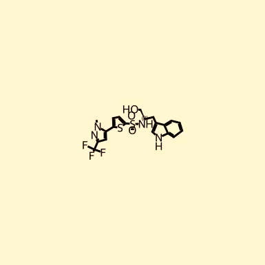 Cn1nc(C(F)(F)F)cc1-c1ccc(S(=O)(=O)N[C@@H](CO)Cc2c[nH]c3ccccc23)s1